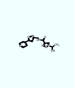 CC(C#N)n1cc(C(=O)NCc2cc(-c3ccncc3)on2)nn1